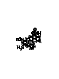 CCCCC1=C(Cc2ccc(-c3ccccc3-c3noc(=O)[nH]3)cc2)CN(Cc2cccc(F)c2F)C(C)=N1